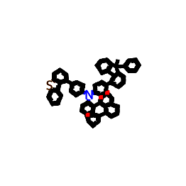 CC1(c2ccccc2)c2ccccc2-c2c(-c3ccc(N(c4ccc(-c5cccc6sc7ccccc7c56)cc4)c4ccccc4-c4cccc5cccc(-c6ccccc6)c45)cc3)cccc21